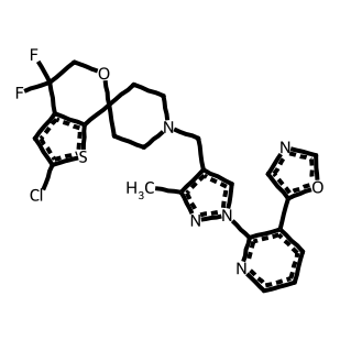 Cc1nn(-c2ncccc2-c2cnco2)cc1CN1CCC2(CC1)OCC(F)(F)c1cc(Cl)sc12